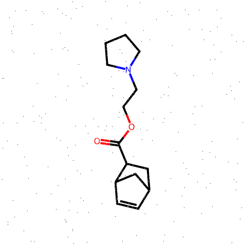 O=C(OCCN1CCCC1)C1CC2C=CC1C2